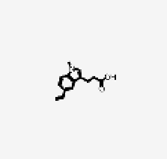 C=Cc1ccc2c(c1)c(CCC(=O)O)cn2C